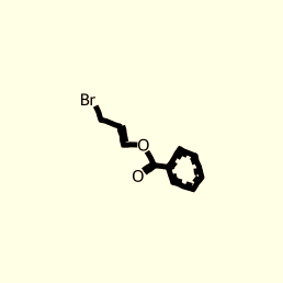 O=C(OC=CCBr)c1ccccc1